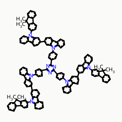 CC1(C)c2ccccc2-c2ccc(-n3c4ccccc4c4ccc(-c5ccc6c7ccccc7n(-c7ccc(-c8nc(-c9ccc(-n%10c%11ccccc%11c%11ccc(-c%12ccc%13c%14ccccc%14n(-c%14ccc%15c(c%14)C(C)(C)c%14ccccc%14-%15)c%13c%12)cc%11%10)cc9)nc(-c9ccc(-n%10c%11ccccc%11c%11ccc(-c%12ccc%13c%14ccccc%14n(-c%14ccc%15c(c%14)C(C)(C)c%14ccccc%14-%15)c%13c%12)cc%11%10)cc9)n8)cc7)c6c5)cc43)cc21